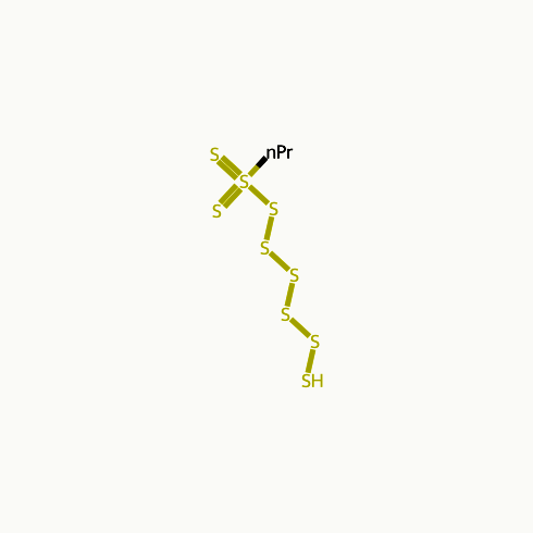 CCCS(=S)(=S)SSSSSS